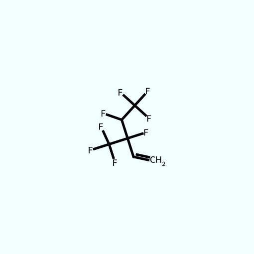 C=CC(F)(C(F)C(F)(F)F)C(F)(F)F